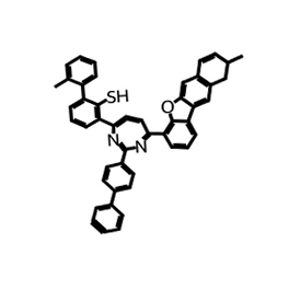 Cc1ccccc1-c1cccc(C2=C=CC(c3cccc4c3oc3cc5c(cc34)CC(C)C=C5)=NC(c3ccc(-c4cc#ccc4)cc3)=N2)c1S